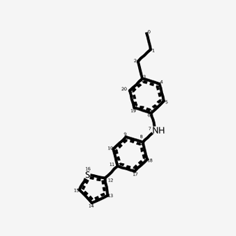 CCCc1ccc(Nc2ccc(-c3cccs3)cc2)cc1